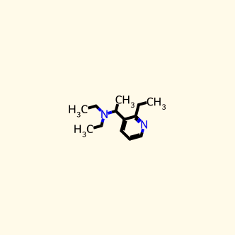 CCc1ncccc1C(C)N(CC)CC